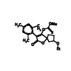 CCOC1CCC2(C1)OC(=O)C(c1c(C)cc(C)cc1C)=C2OC(=S)OC